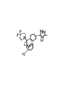 Cc1nnc(-c2ccc(C(=O)N3CCC(F)(F)CC3)c(-n3ccc(C4CC4)n3)c2)[nH]1